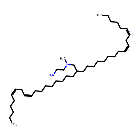 CCCCC/C=C\C/C=C\CCCCCCCCC(CCCCCCCC/C=C\C/C=C\CCCCC)CN(C)CCN